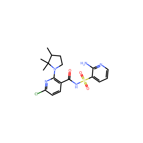 CC1CCN(c2nc(Cl)ccc2C(=O)NS(=O)(=O)c2cccnc2N)C1(C)C